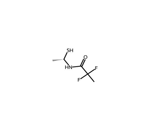 C[C@H](S)NC(=O)C(C)(F)F